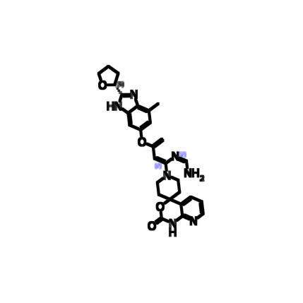 C=C(/C=C(\N=C/N)N1CCC2(CC1)OC(=O)Nc1ncccc12)Oc1cc(C)c2nc([C@H]3CCCO3)[nH]c2c1